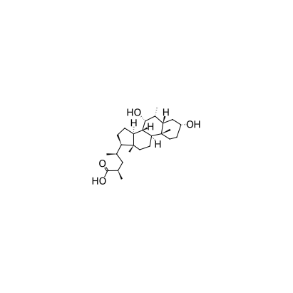 C[C@H]1[C@@H](O)[C@@H]2[C@H](CC[C@]3(C)[C@@H]([C@H](C)C[C@@H](C)C(=O)O)CC[C@@H]23)[C@@]2(C)CC[C@@H](O)C[C@@H]12